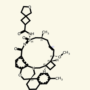 CO[C@H]1/C=C/C[C@H](C)C[S@@](=O)(NC(=O)C2CC3(CCOC3)C2)=NC(=O)c2ccc3c(c2)N(C[C@@H]2CC[C@H]21)C[C@@]1(CCCc2cc(C)ccc21)CO3